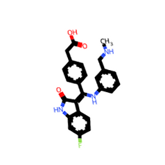 CNCc1cccc(NC(=C2C(=O)Nc3cc(F)ccc32)c2ccc(CC(=O)O)cc2)c1